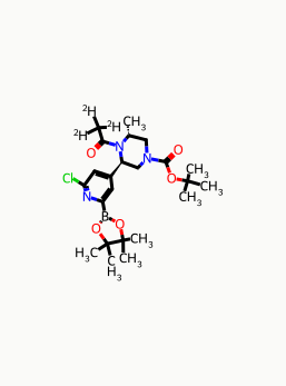 [2H]C([2H])([2H])C(=O)N1[C@H](C)CN(C(=O)OC(C)(C)C)C[C@H]1c1cc(Cl)nc(B2OC(C)(C)C(C)(C)O2)c1